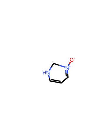 [O-][N+]1=CC=CNC1